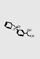 N#CCC(O)c1cccc(S(=O)(=O)Cc2ccccc2)c1